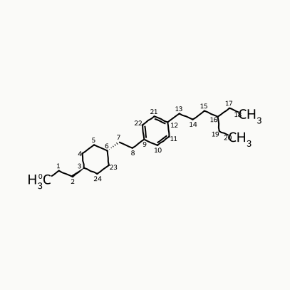 CCC[C@H]1CC[C@H](CCc2ccc(CCCC(CC)CC)cc2)CC1